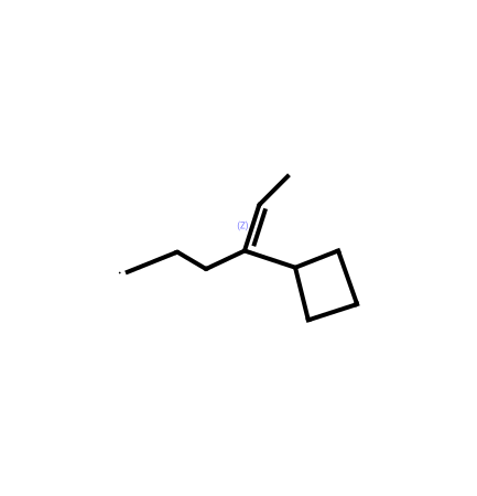 [CH2]CC/C(=C/C)C1CCC1